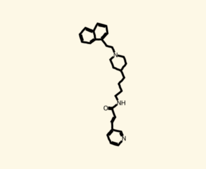 O=C(C=Cc1cccnc1)NCCCCC1CCN(CCc2cccc3ccccc23)CC1